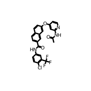 CC(=O)Nc1cc(Oc2ccc3ccc(C(=O)Nc4ccc(Cl)c(C(F)(F)F)c4)cc3c2)ccn1